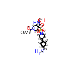 COC(=O)N1CCC(CS(=O)(=O)N2CCC(c3ccc(CN)cc3C)CC2)(C(=O)NO)CC1